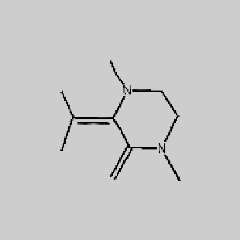 C=C1C(=C(C)C)N(C)CCN1C